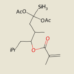 C=C(C)C(=O)OC(CC(C)C)C(C)CC([SiH3])(OC(C)=O)OC(C)=O